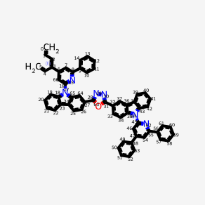 C=C/C=C(\C=C)c1cc(-c2ccccc2)nc(-n2c3ccccc3c3ccc(-c4nnc(-c5ccc6c(c5)c5ccccc5n6-c5cc(-c6ccccc6)cc(-c6ccccc6)n5)o4)cc32)c1